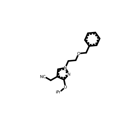 CC(C)Oc1nn(CCOCc2ccccc2)cc1CC#N